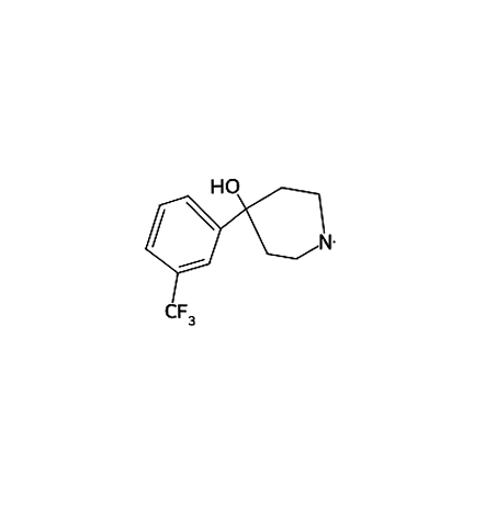 OC1(c2cccc(C(F)(F)F)c2)CC[N]CC1